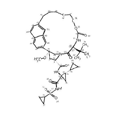 CO[C@@]12C[C@@H](C(=O)N[C@]3(C(=O)NS(=O)(=O)C4CC4)C[C@H]3C3CC3)N(C1)C(=O)[C@H](C(C)(C)C)NC(=O)OCCCCCCc1ccc3ccc2cc3c1